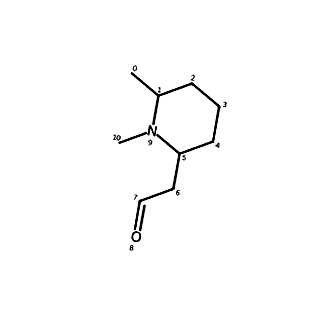 CC1CCCC(CC=O)N1C